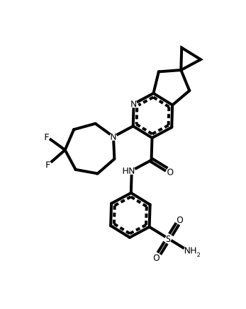 NS(=O)(=O)c1cccc(NC(=O)c2cc3c(nc2N2CCCC(F)(F)CC2)CC2(CC2)C3)c1